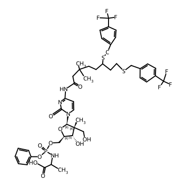 CC(NP(=O)(OC[C@H]1O[C@@H](n2ccc(NC(=O)CC(C)(C)CCC(CCSCc3ccc(C(F)(F)F)cc3)SCc3ccc(C(F)(F)F)cc3)nc2=O)[C@](C)(CO)[C@@H]1O)Oc1ccccc1)C(=O)O